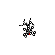 CCCCc1cc(CCCC)cc(-c2nc(-c3cc(CCCC)cc(CCCC)c3)nc(-c3cc4c5c(c3)N(c3ccccc3)c3cc6c7cccc8cccc(c9cccc(c3B5c3c(cc5c%10cccc%11cccc(c%12cccc3c%125)c%11%10)N4c3ccccc3)c96)c87)n2)c1